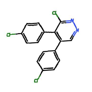 Clc1ccc(-c2cnnc(Cl)c2-c2ccc(Cl)cc2)cc1